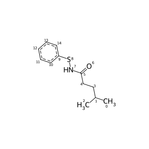 CC(C)CCC(=O)NSc1ccccc1